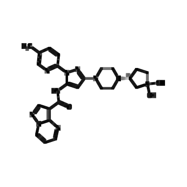 Cc1ccc(-n2nc(N3CCN([C@@H]4CCS(O)(O)C4)CC3)cc2NC(=O)c2cnn3cccnc23)nc1